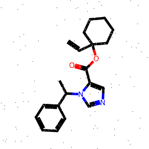 C=CC1(OC(=O)c2cncn2C(C)c2ccccc2)CCCCC1